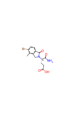 Cc1c(Br)ccc2c1CN([C@@H](CCC(=O)O)C(N)=O)C2=O